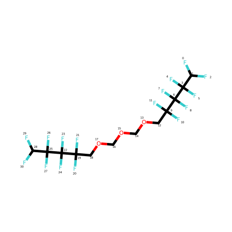 FC(F)C(F)(F)C(F)(F)C(F)(F)COCOCOCC(F)(F)C(F)(F)C(F)(F)C(F)F